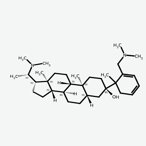 C[C@@H]([C@H]1CC[C@H]2[C@@H]3CC[C@H]4C[C@@](O)(C5(C)CC=CC=C5CN(C)C)CC[C@]4(C)[C@H]3CC[C@]12C)N(C)C